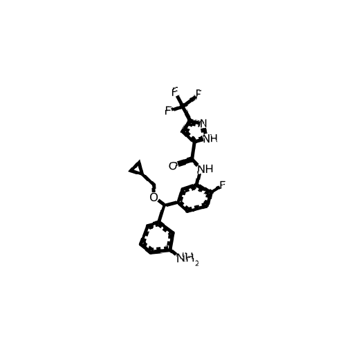 Nc1cccc(C(OCC2CC2)c2ccc(F)c(NC(=O)c3cc(C(F)(F)F)n[nH]3)c2)c1